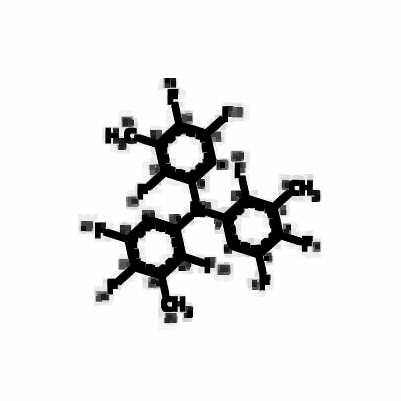 Cc1c(F)c(F)c[c]([Bi]([c]2cc(F)c(F)c(C)c2F)[c]2cc(F)c(F)c(C)c2F)c1F